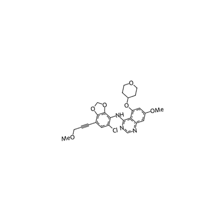 COCC#Cc1cc(Cl)c(Nc2ncnc3cc(OC)cc(OC4CCOCC4)c23)c2c1OCO2